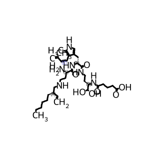 C=C[C@@H](CCCCCC)CNCC[C@H](N)C(=O)N[C@H](Cc1c[nH]c(C)c1/C=C\C(=C)C)C(=O)NCC[C@@H](NC(=O)CCCC(=O)O)C(O)O